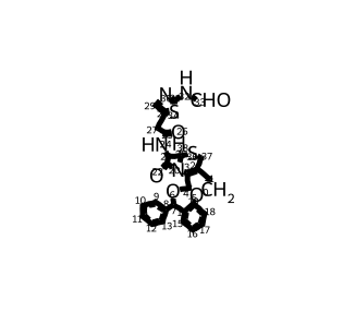 C=CC1=C(C(=O)OC(c2ccccc2)c2ccccc2)N2C(=O)C(NC(=O)Cc3cnc(NC=O)s3)[C@H]2SC1